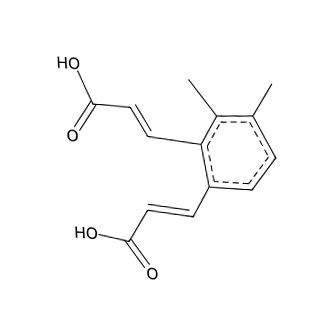 Cc1ccc(C=CC(=O)O)c(C=CC(=O)O)c1C